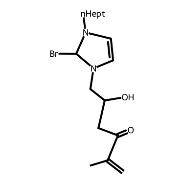 C=C(C)C(=O)CC(O)CN1C=CN(CCCCCCC)C1Br